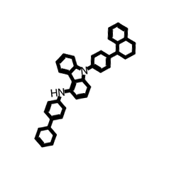 C1=CCC2C(=C1)C1=C(NC3C=CC(C4CC=CCC4)=CC3)C=CCC1N2C1=CC=C(C2CCCC3C=CC=CC32)CC1